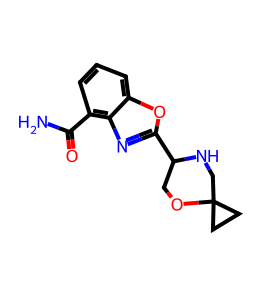 NC(=O)c1cccc2oc(C3COC4(CC4)CN3)nc12